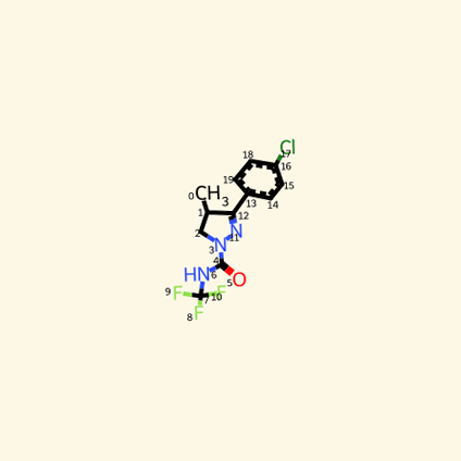 CC1CN(C(=O)NC(F)(F)F)N=C1c1ccc(Cl)cc1